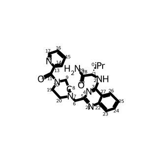 CC(C)[C@H](Nc1nc(CN2CCN(C(=O)c3ccccn3)CC2)nc2ccccc12)C(N)=O